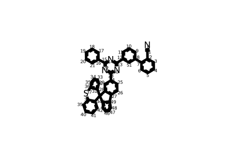 N#Cc1ccccc1-c1cccc(-c2nc(-c3ccccc3)nc(-c3ccc4c(c3)C3(c5ccccc5Sc5ccccc53)c3ccccc3-4)n2)c1